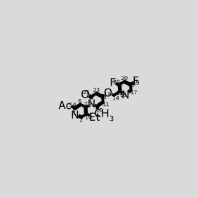 CCc1cnc(C(C)=O)cc1-n1c(C)cc(OCc2ncc(F)cc2F)cc1=O